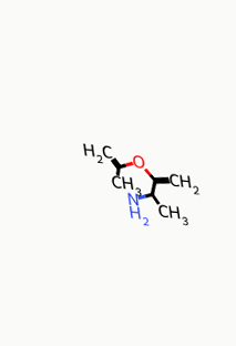 C=C(C)OC(=C)C(C)N